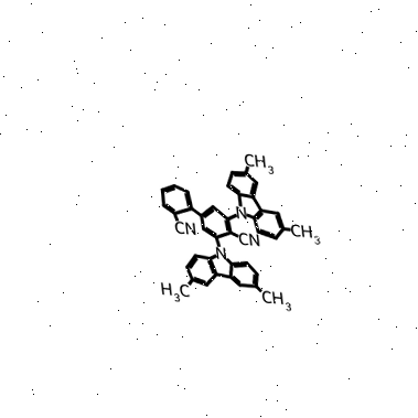 Cc1ccc2c(c1)c1cc(C)ccc1n2-c1cc(-c2ccccc2C#N)cc(-n2c3ccc(C)cc3c3cc(C)ccc32)c1C#N